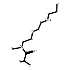 CCCNCCOCCN(C)C(=O)C(C)C